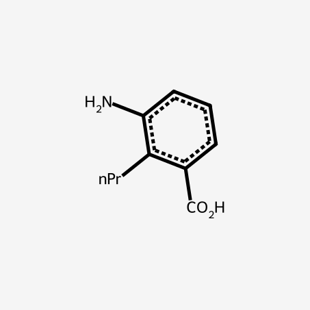 CCCc1c(N)cccc1C(=O)O